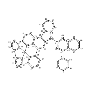 c1ccc(-c2nc(-n3c4ccccc4c4c5cccc6c5c(cc43)-c3ncccc3C63c4ccccc4-c4ccccc43)nc3ccccc23)cc1